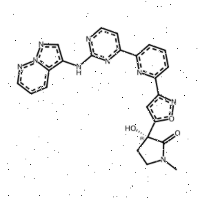 CN1CC[C@@](O)(c2cc(-c3cccc(-c4ccnc(Nc5cnn6ncccc56)n4)n3)no2)C1=O